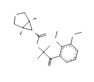 CNc1c(SC)cccc1C(=N)C(C)(C)NC(=O)[C@H]1[C@@H]2CNC[C@@H]21